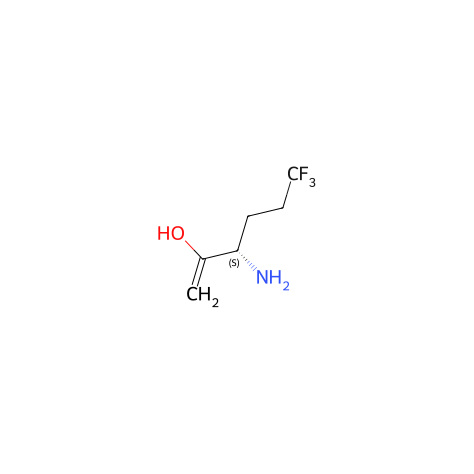 C=C(O)[C@@H](N)CCC(F)(F)F